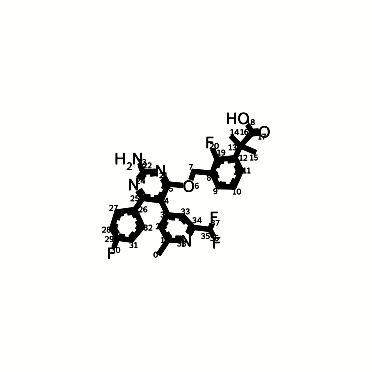 Cc1cc(-c2c(OCc3cccc(C(C)(C)C(=O)O)c3F)nc(N)nc2-c2ccc(F)cc2)cc(C(F)F)n1